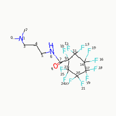 CN(C)CCCNC(=O)C1(F)C(F)(F)C(F)(F)C(F)(F)C(F)(F)C1(F)F